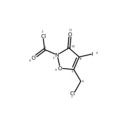 O=C(Cl)n1oc(CCl)c(I)c1=O